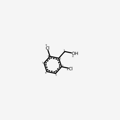 O[CH]c1c(Cl)cccc1Cl